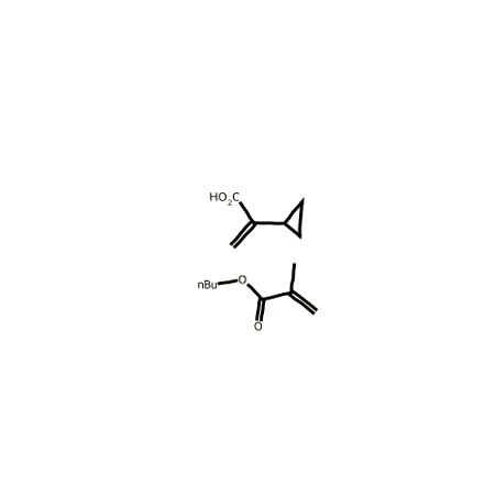 C=C(C(=O)O)C1CC1.C=C(C)C(=O)OCCCC